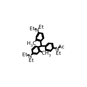 CCN(CC)c1ccc(C(c2ccc(N(CC)C(C)=O)cc2)c2ccc(N(CC)CC)cc2C)c(C)c1